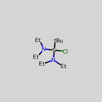 CCN(CC)[Si](Cl)(N(CC)CC)C(C)(C)C